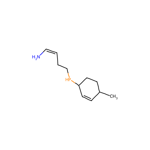 CC1C=CC(PCC/C=C\N)CC1